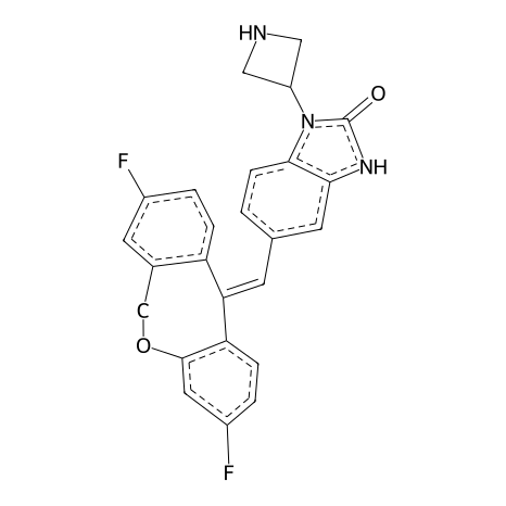 O=c1[nH]c2cc(/C=C3\c4ccc(F)cc4COc4cc(F)ccc43)ccc2n1C1CNC1